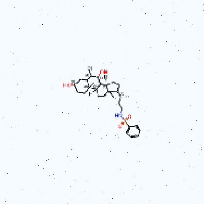 CC[C@@H]1C2C[C@H](O)CC[C@@]2(C)[C@H]2CCC3(C)C([C@H](C)CCNS(=O)(=O)c4ccccc4)CC[C@H]3C2[C@@H]1O